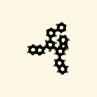 c1ccc(-c2cccc(-c3nc(-c4ccc5ccccc5c4)nc(-c4cc(-c5ccc6ccccc6c5)cc5oc6ccccc6c45)n3)c2)cc1